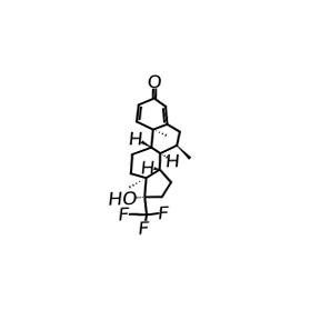 C[C@@H]1CC2=CC(=O)C=C[C@]2(C)[C@H]2CC[C@@]3(C)[C@@H](CC[C@@]3(O)C(F)(F)F)[C@H]12